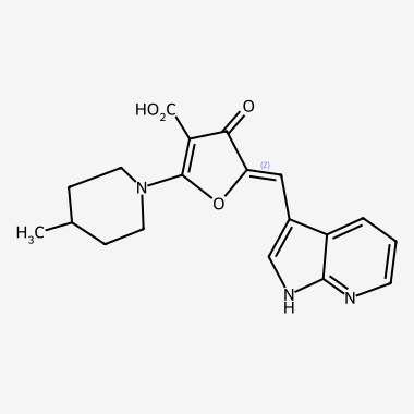 CC1CCN(C2=C(C(=O)O)C(=O)/C(=C/c3c[nH]c4ncccc34)O2)CC1